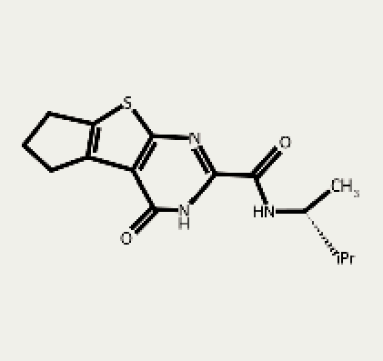 CC(C)[C@@H](C)NC(=O)c1nc2sc3c(c2c(=O)[nH]1)CCC3